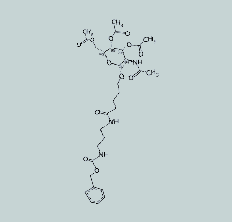 CC(=O)N[C@H]1[C@H](OCCCCC(=O)NCCCNC(=O)OCc2ccccc2)O[C@H](COC(C)=O)[C@H](OC(C)=O)[C@@H]1OC(C)=O